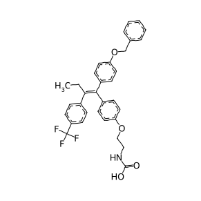 CC/C(=C(/c1ccc(OCCNC(=O)O)cc1)c1ccc(OCc2ccccc2)cc1)c1ccc(C(F)(F)F)cc1